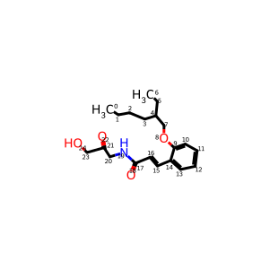 CCCCC(CC)COc1ccccc1C=CC(=O)NCC(=O)CO